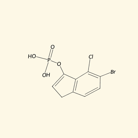 O=P(O)(O)OC1=CCc2ccc(Br)c(Cl)c21